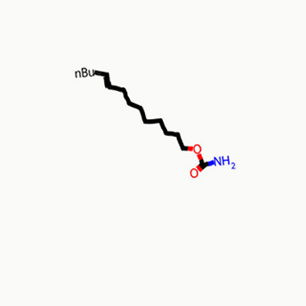 CCCCC=CCCCCCCCCOC(N)=O